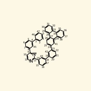 c1ccc(-c2cccc(-c3ccnc(-c4cccc(-c5cccc(-c6ccc7c8ccccc8c8ccccc8c7c6)c5)c4)n3)c2)cc1